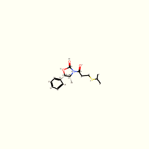 CC(C)SCCC(=O)N1C(=O)O[C@@H](c2ccccc2)[C@H]1C